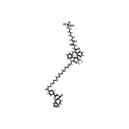 CN(CCOCCOCCOCCOCCOCCN(N)/C1=C(\N)c2ccccc2N(C(=O)CCC(=O)NCCCCCCOP(O)(O)=S)Cc2ccccc21)c1ccc(-c2cc(=O)c3ccc4[nH]cnc4c3o2)cc1